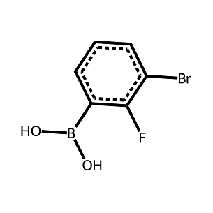 OB(O)c1cccc(Br)c1F